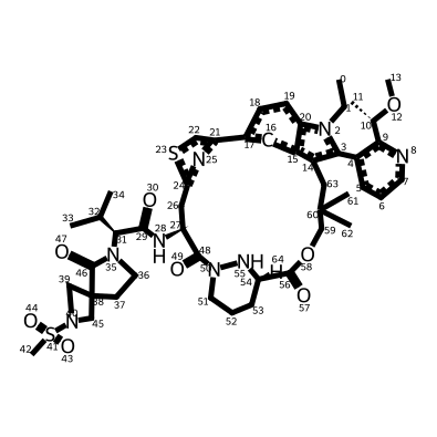 CCn1c(-c2cccnc2[C@H](C)OC)c2c3cc(ccc31)-c1csc(n1)C[C@H](NC(=O)[C@H](C(C)C)N1CCC3(CN(S(C)(=O)=O)C3)C1=O)C(=O)N1CCC[C@H](N1)C(=O)OCC(C)(C)C2